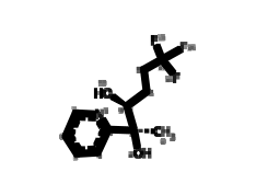 C[C@](O)(c1ccccn1)[C@@H](O)CCC(F)(F)F